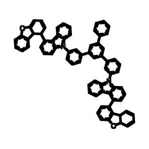 C1=CC2Oc3cccc(-c4cccc5c4c4ccccc4n5-c4cccc(-c5cc(-c6ccccc6)cc(-c6cccc(-n7c8ccccc8c8c(C9C=CC=C%10Oc%11ccccc%11C%109)cccc87)c6)c5)c4)c3C2C=C1